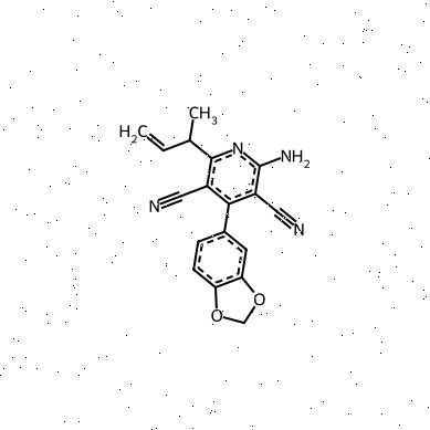 C=CC(C)c1nc(N)c(C#N)c(-c2ccc3c(c2)OCO3)c1C#N